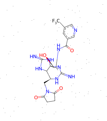 N=C1NC2[C@H](CN3C(=O)CCC3=O)NC(=N)N3CC(NC(=O)c4cncc(C(F)(F)F)c4)[C@@H](O)C23N1